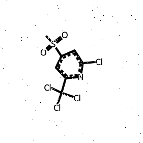 CS(=O)(=O)c1cc(Cl)nc(C(Cl)(Cl)Cl)c1